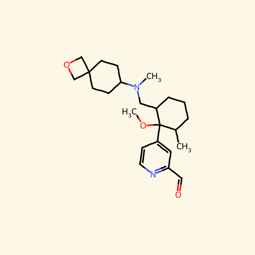 COC1(c2ccnc(C=O)c2)C(C)CCCC1CN(C)C1CCC2(CC1)COC2